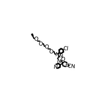 C#CCOCCOCCOCCOCCn1c(CN2C(=O)C3(CCB(C#N)CC3)c3ccncc32)nc2cc(Cl)ccc21